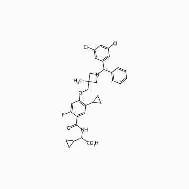 CC1(COc2cc(F)c(C(=O)NC(C(=O)O)C3CC3)cc2C2CC2)CN(C(c2ccccc2)c2cc(Cl)cc(Cl)c2)C1